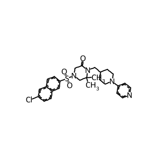 CC1(C)CN(S(=O)(=O)c2ccc3cc(Cl)ccc3c2)CC(=O)N1CC1CCN(c2ccncc2)CC1